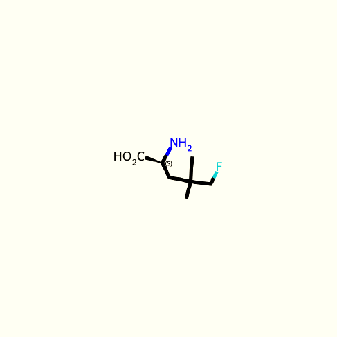 CC(C)(CF)C[C@H](N)C(=O)O